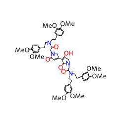 COc1ccc(CCN(CCc2ccc(OC)c(OC)c2)C(=O)CN2CC(C3=C(O)CN(CC(=O)N(CCc4ccc(OC)c(OC)c4)CCc4ccc(OC)c(OC)c4)C3=O)=CC2=O)cc1OC